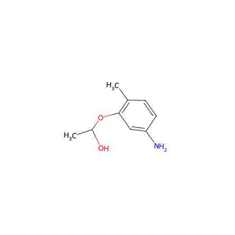 Cc1ccc(N)cc1OC(C)O